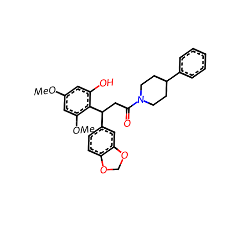 COc1cc(O)c(C(CC(=O)N2CCC(c3ccccc3)CC2)c2ccc3c(c2)OCO3)c(OC)c1